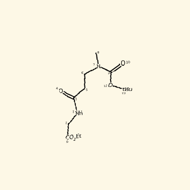 CCOC(=O)CNC(=O)CCN(C)C(=O)OC(C)(C)C